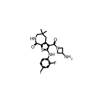 CC1(C)CNC(=O)c2sc(Nc3ccc(I)cc3F)c(C(=O)N3CC(N)C3)c2C1